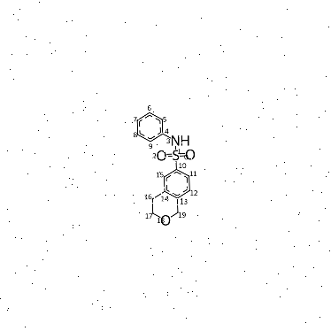 O=S(=O)(Nc1ccccc1)c1ccc2c(c1)CCOC2